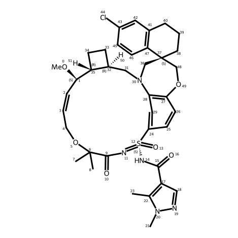 CO[C@@H]1C=CCOC(C)(C)C(=O)N=[S@@](=O)(NC(=O)c2cnn(C)c2C)c2ccc3c(c2)N(C[C@@H]2CC[C@H]21)C[C@@]1(CCCc2cc(Cl)ccc21)CO3